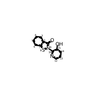 O=c1c2ccccc2sn1-c1ncccc1O